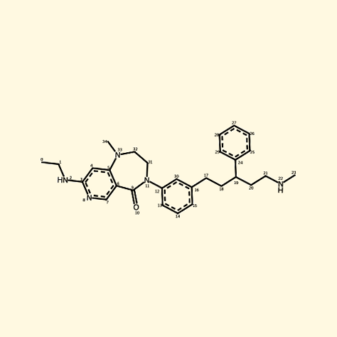 CCNc1cc2c(cn1)C(=O)N(c1cccc(CCC(CCNC)c3ccccc3)c1)CCN2C